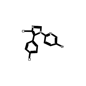 Clc1ccc(-c2c(Cl)ncn2-c2ccc(Br)cn2)cc1